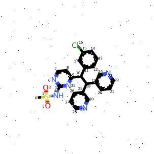 CS(=O)(=O)Nc1nccc(C(c2cccc(Cl)c2)C(c2cccnc2)c2cccnc2)n1